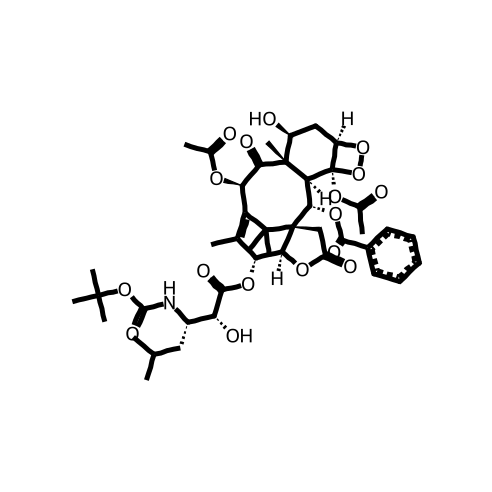 CC(=O)O[C@H]1C(=O)[C@@]2(C)[C@H]([C@H](OC(=O)c3ccccc3)[C@]34CC(=O)O[C@H]3[C@H](OC(=O)[C@H](O)[C@H](CC(C)C)NC(=O)OC(C)(C)C)C(C)=C1C4(C)C)[C@]1(OC(C)=O)OO[C@@H]1C[C@@H]2O